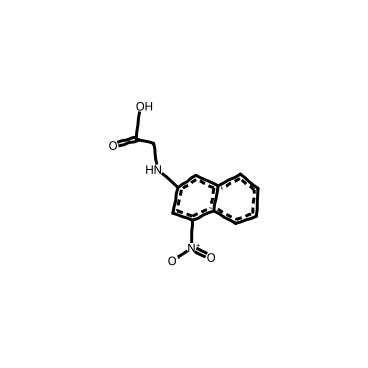 O=C(O)CNc1cc([N+](=O)[O-])c2ccccc2c1